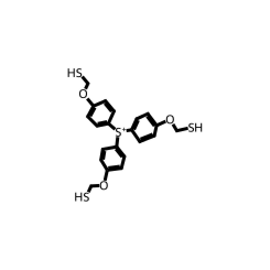 SCOc1ccc([S+](c2ccc(OCS)cc2)c2ccc(OCS)cc2)cc1